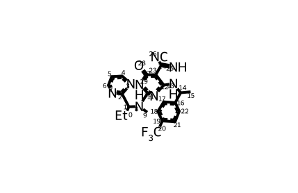 CCC(c1ncccn1)N(C)c1nc(NC(C)c2ccc(C(F)(F)F)cc2)c(C(=N)C#N)c(=O)[nH]1